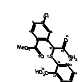 COC(=O)c1ccc(Cl)cc1C(Sc1ncccc1C(=O)O)C(N)=O